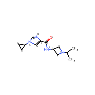 CC(C)N1CC(NC(=O)c2cn(C3CC3)cn2)C1